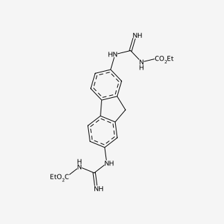 CCOC(=O)NC(=N)Nc1ccc2c(c1)Cc1cc(NC(=N)NC(=O)OCC)ccc1-2